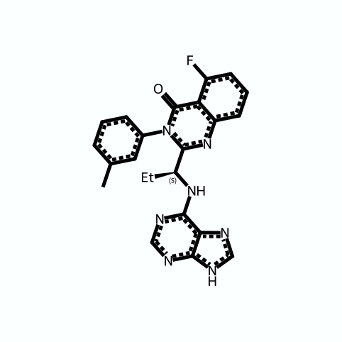 CC[C@H](Nc1ncnc2[nH]cnc12)c1nc2cccc(F)c2c(=O)n1-c1cccc(C)c1